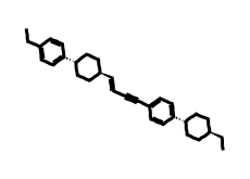 CCc1ccc([C@H]2CC[C@H](C=CC#Cc3ccc([C@H]4CC[C@H](CC)CC4)cc3)CC2)cc1